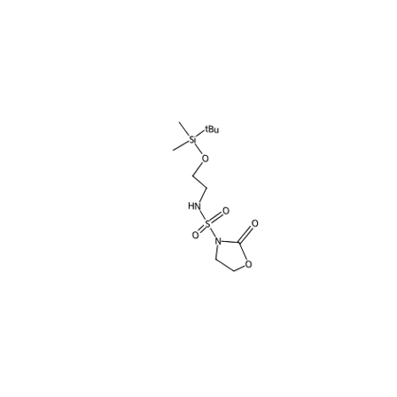 CC(C)(C)[Si](C)(C)OCCNS(=O)(=O)N1CCOC1=O